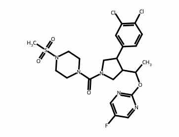 CC(Oc1ncc(F)cn1)C1CN(C(=O)N2CCN(S(C)(=O)=O)CC2)CC1c1ccc(Cl)c(Cl)c1